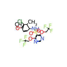 COC1=C(Cl)C(C)C(NS(=O)(=O)c2c(OCC(F)(F)F)ncnc2OCC(F)(F)F)C=C1